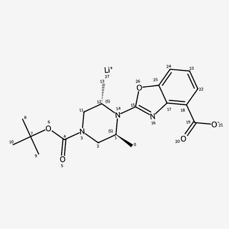 C[C@H]1CN(C(=O)OC(C)(C)C)C[C@H](C)N1c1nc2c(C(=O)[O-])cccc2o1.[Li+]